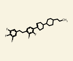 CCCC1CCC(C2CC=C(c3ccc(CCc4cc(F)c(F)c(F)c4)c(F)c3F)CC2)CC1